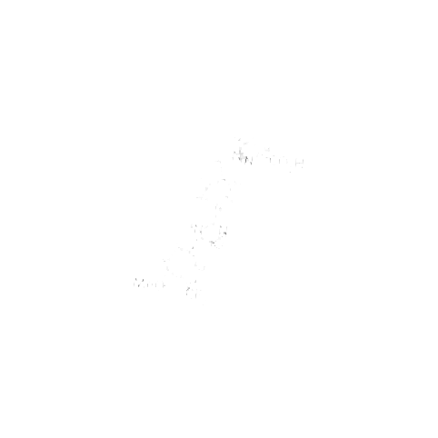 COc1ccc(-c2nc(-c3ccc(Cn4ccc(C(=O)O)n4)cc3)no2)cc1C(F)(F)F